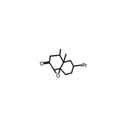 CC(C)C1CCC23OC2C(=O)CC(C)C3(C)C1